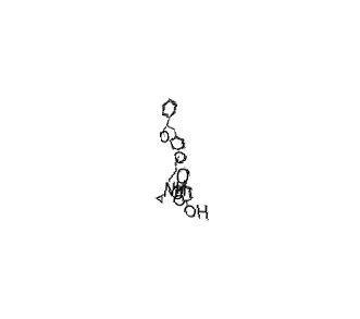 O=C(O)/C=C\C(=O)OC(CNC1CC1)COc1ccc2c(c1)OCC(c1ccccc1)C2